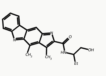 CCC(CO)NC(=O)C1=C(C)c2c(C)c3c(cc2=N1)-c1ccccc1N=3